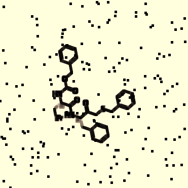 CC(C)C[C@H](NC(=O)OCc1ccccc1)C(=O)N[C@@H](Cc1ccccc1)C(=O)CSCc1ccccc1